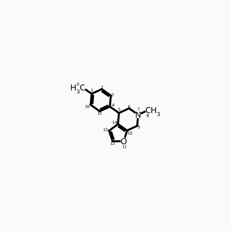 Cc1ccc(C2CN(C)Cc3occc32)cc1